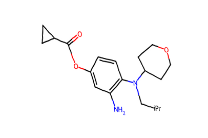 CC(C)CN(c1ccc(OC(=O)C2CC2)cc1N)C1CCOCC1